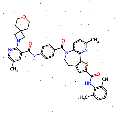 Cc1cnc(N2CC3(CCOCC3)C2)c(C(=O)Nc2ccc(C(=O)N3CCc4cc(C(=O)Nc5c(C)cccc5C#N)sc4-c4nc(C)ccc43)cc2)c1